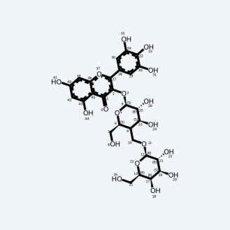 O=c1c(O[C@@H]2O[C@H](CO)C(CO[C@@H]3O[C@H](CO)[C@H](O)[C@H](O)[C@H]3O)[C@H](O)[C@H]2O)c(-c2cc(O)c(O)c(O)c2)oc2cc(O)cc(O)c12